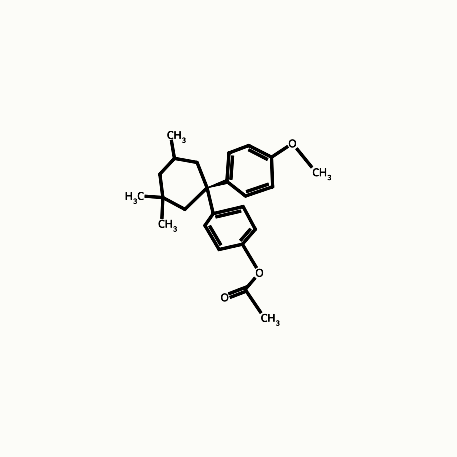 COc1ccc([C@]2(c3ccc(OC(C)=O)cc3)CC(C)CC(C)(C)C2)cc1